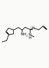 C=CC/N=C(/CC(N)CC1CC=C(CC)C1)NC